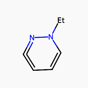 CCN1C=CC=C=N1